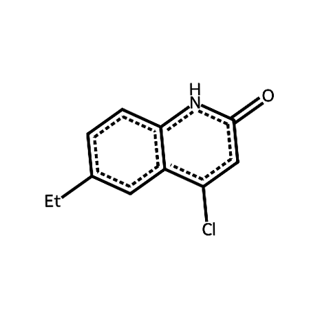 CCc1ccc2[nH]c(=O)cc(Cl)c2c1